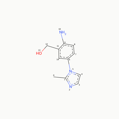 Cc1nccn1-c1ccc(N)c(CO)c1